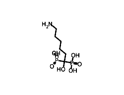 NCCCCCC(O)([PH](=O)O)P(=O)(O)O